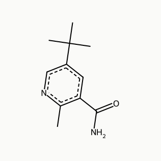 Cc1ncc(C(C)(C)C)cc1C(N)=O